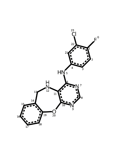 Fc1ccc(Nc2ncnc3c2NCc2ccccc2O3)cc1Cl